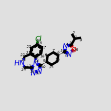 CC(C)c1nc([C@H]2CC[C@@H](c3nnc4n3-c3ccc(Cl)cc3CNC4)CC2)no1